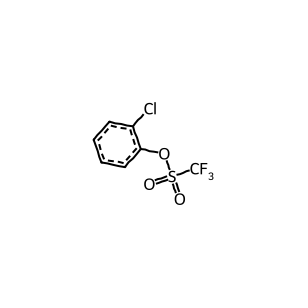 O=S(=O)(Oc1ccccc1Cl)C(F)(F)F